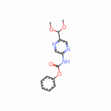 COC(OC)c1cnc(NC(=O)Oc2ccccc2)cn1